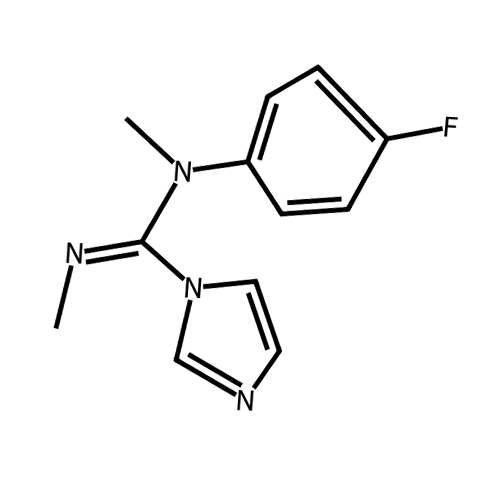 CN=C(N(C)c1ccc(F)cc1)n1ccnc1